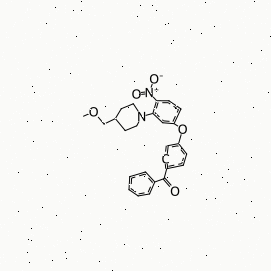 COCC1CCN(c2cc(Oc3ccc(C(=O)c4ccccc4)cc3)ccc2[N+](=O)[O-])CC1